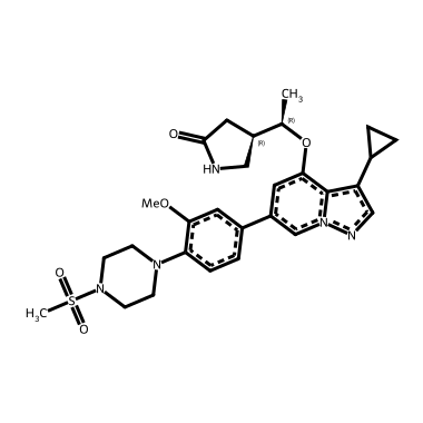 COc1cc(-c2cc(O[C@H](C)[C@H]3CNC(=O)C3)c3c(C4CC4)cnn3c2)ccc1N1CCN(S(C)(=O)=O)CC1